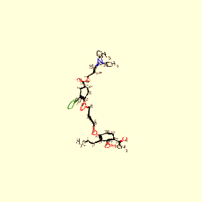 CCCc1c(OCCCOc2ccc(C(=O)OCCCN(C)C)cc2Cl)ccc(C(C)=O)c1O